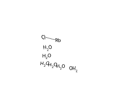 O.O.O.O.O.O.[Cl][Rb]